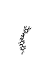 C=Cc1ccc(-c2ccc(OCOCCc3ccc(C=C)c(F)c3)cc2)cc1